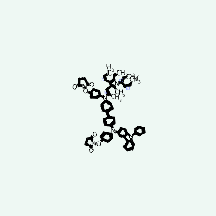 C=Cc1c(/C=C\C)c(/C=C(\C)N(c2ccc(ON3C(=O)CCC3=O)cc2)c2ccc(-c3ccc(N(c4ccc(ON5C(=O)CCC5=O)cc4)c4ccc5c(c4)c4ccccc4n5-c4ccccc4)cc3)cc2)c(C)n1C(/C=C\C)=C/C